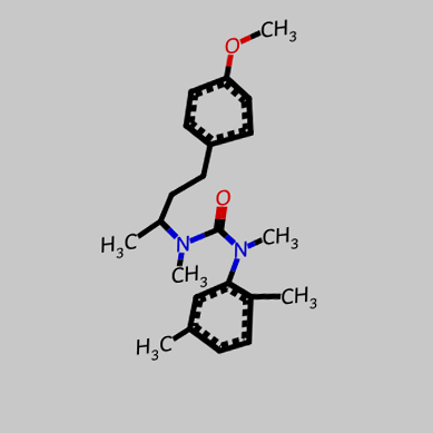 COc1ccc(CCC(C)N(C)C(=O)N(C)c2cc(C)ccc2C)cc1